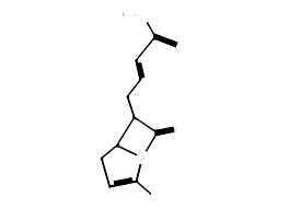 COC(=O)C=CCC1C(=O)N2C(C(=O)O)=CCC12